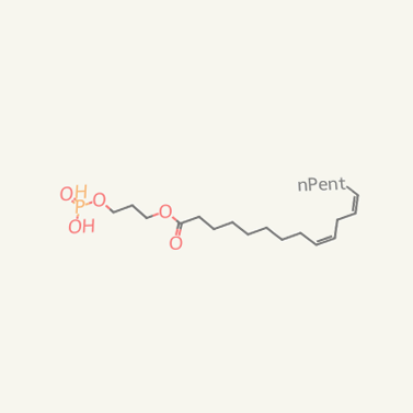 CCCCC/C=C\C/C=C\CCCCCCCC(=O)OCCCO[PH](=O)O